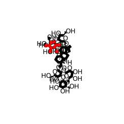 C=C1C[C@@]23CC[C@H]4[C@@](C)(CCC[C@@]4(C)C(=O)OC4O[C@H](CO)[C@@H](O)[C@H](O[C@@H]5C[C@H](CO)[C@@H](O)[C@H](O)[C@H]5O)[C@H]4O[C@@H]4O[C@H](CO)[C@@H](O)[C@H](O)[C@H]4O)[C@@H]2CC[C@]1(O[C@@H]1O[C@H](CO)[C@@H](O)[C@H](O[C@@H]2O[C@H](CO)[C@@H](O)[C@H](O)[C@H]2O)[C@H]1O[C@@H]1O[C@H](CO)[C@@H](O)[C@H](O)[C@H]1O)C3